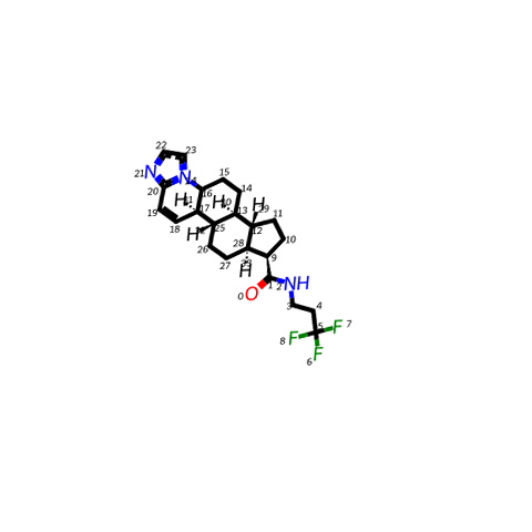 O=C(NCCC(F)(F)F)[C@@H]1CC[C@H]2[C@@H]3CCC4[C@H](C=Cc5nccn54)[C@H]3CC[C@@H]21